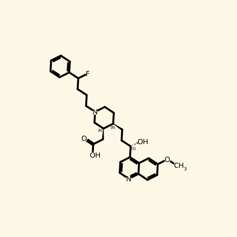 COc1ccc2nccc([C@@H](O)CC[C@@H]3CCN(CCCC(F)c4ccccc4)C[C@@H]3CC(=O)O)c2c1